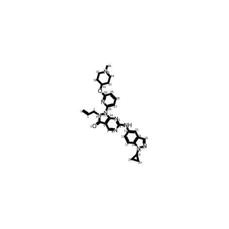 C=CCn1c(=O)c2cnc(Nc3ccc4c(cnn4C4CC4)c3)nc2n1-c1cccc(OC2CCN(C)CC2)n1